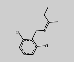 C[CH]C(C)=NCc1c(Cl)cccc1Cl